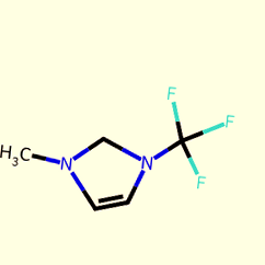 CN1C=CN(C(F)(F)F)C1